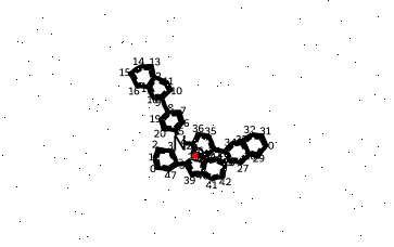 c1ccc(N(c2ccc(-c3ccc4ccccc4c3)cc2)c2ccc(-c3ccc4ccccc4c3)cc2)c(-c2cc3ccccc3o2)c1